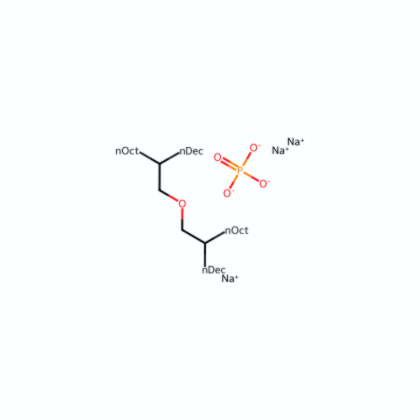 CCCCCCCCCCC(CCCCCCCC)COCC(CCCCCCCC)CCCCCCCCCC.O=P([O-])([O-])[O-].[Na+].[Na+].[Na+]